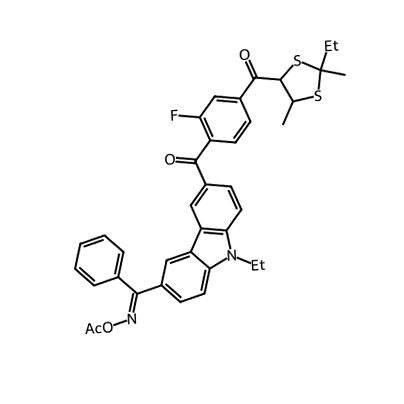 CCn1c2ccc(C(=O)c3ccc(C(=O)C4SC(C)(CC)SC4C)cc3F)cc2c2cc(/C(=N/OC(C)=O)c3ccccc3)ccc21